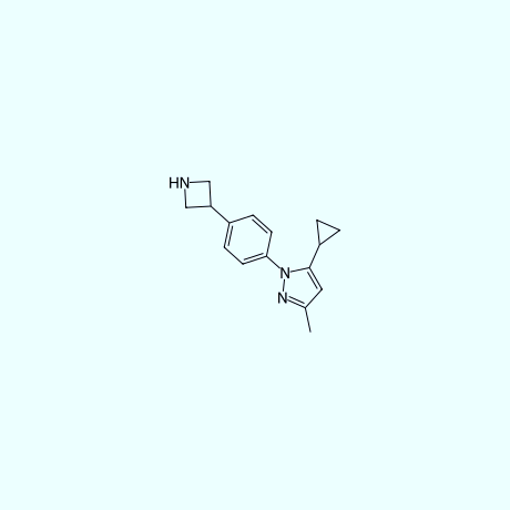 Cc1cc(C2CC2)n(-c2ccc(C3CNC3)cc2)n1